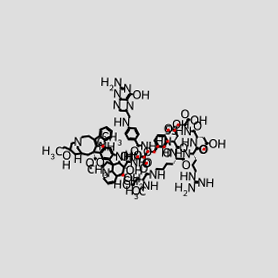 CC[C@]1(O)C[C@@H]2CN(CCc3c([nH]c4ccccc34)[C@@](C(=O)OC)(c3cc4c(cc3OC)NC3C45CCN4CC=C[C@](CC)(C45)[C@@H](O)[C@]3(O)C(=O)NNC(=O)OCc3ccc(SSC[C@H](NC(=O)[C@H](CC(=O)O)NC(=O)[C@H](CCCNC(=N)N)NC(=O)[C@H](CCCCNC(=O)[C@H](CC(=O)O)NC)NC(=O)[C@H](CC(=O)O)NC(=O)CC[C@H](NC(=O)c4ccc(NCc5cnc6nc(N)nc(O)c6n5)cc4)C(=O)O)C(=O)O)cc3)C2)C1